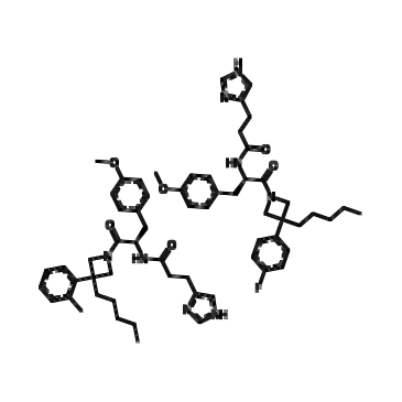 CCCCCC1(c2ccc(F)cc2)CN(C(=O)[C@@H](Cc2ccc(OC)cc2)NC(=O)CCc2c[nH]cn2)C1.CCCCCC1(c2ccccc2C)CN(C(=O)[C@@H](Cc2ccc(OC)cc2)NC(=O)CCc2c[nH]cn2)C1